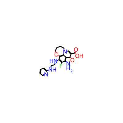 Nc1c(F)c(NCCNc2ccccn2)c2c3c1c(=O)c(C(=O)O)cn3CCCCO2